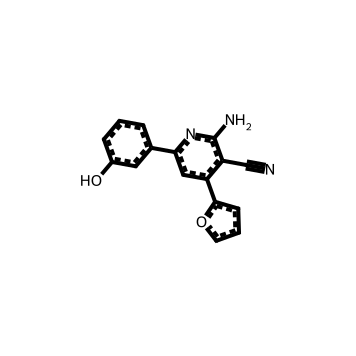 N#Cc1c(-c2ccco2)cc(-c2cccc(O)c2)nc1N